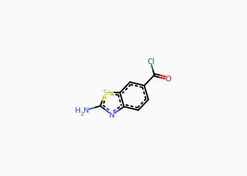 Nc1nc2ccc(C(=O)Cl)cc2s1